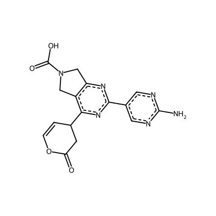 Nc1ncc(-c2nc3c(c(C4C=COC(=O)C4)n2)CN(C(=O)O)C3)cn1